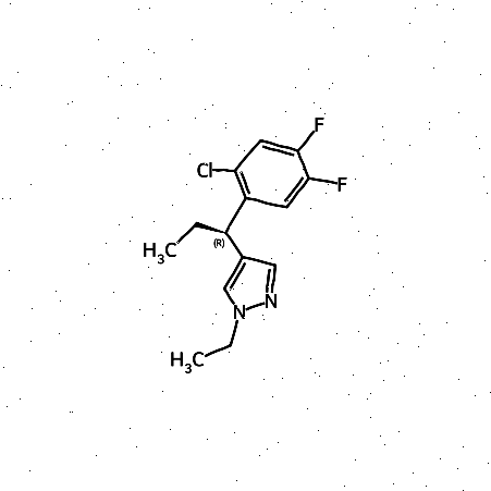 CC[C@H](c1cnn(CC)c1)c1cc(F)c(F)cc1Cl